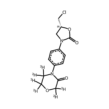 [2H]C1([2H])OC([2H])([2H])C([2H])([2H])N(c2ccc(N3C[C@H](CCl)OC3=O)cc2)C1=O